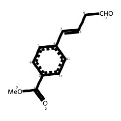 COC(=O)c1ccc(C=CCC=O)cc1